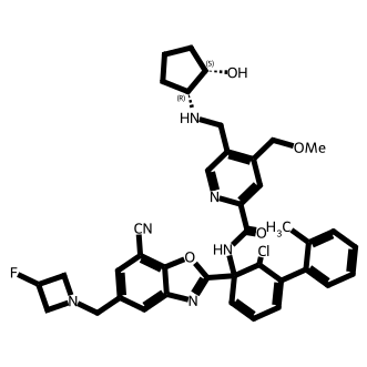 COCc1cc(C(=O)NC2(c3nc4cc(CN5CC(F)C5)cc(C#N)c4o3)C=CC=C(c3ccccc3C)C2Cl)ncc1CN[C@@H]1CCC[C@@H]1O